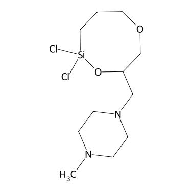 CN1CCN(CC2COCCC[Si](Cl)(Cl)O2)CC1